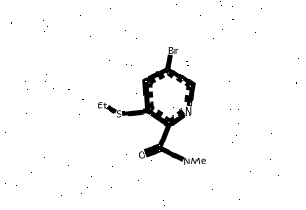 CCSc1cc(Br)cnc1C(=O)NC